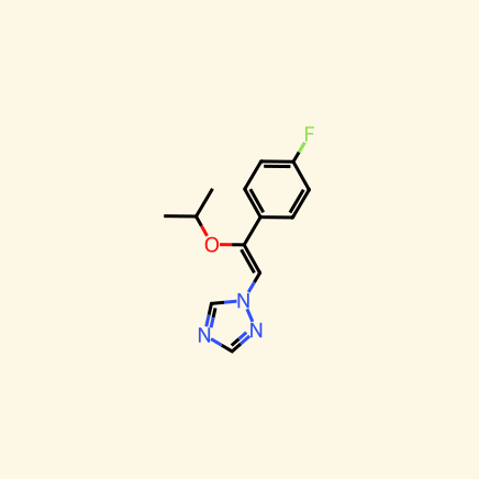 CC(C)O/C(=C\n1cncn1)c1ccc(F)cc1